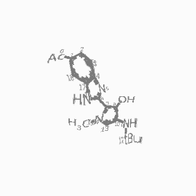 CC(=O)c1ccc2nc(-c3c(O)c(NC(C)(C)C)cn3C)[nH]c2c1